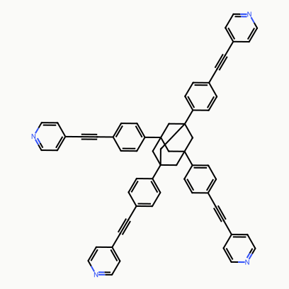 C(#Cc1ccc(C23CC4(c5ccc(C#Cc6ccncc6)cc5)CC(c5ccc(C#Cc6ccncc6)cc5)(C2)CC(c2ccc(C#Cc5ccncc5)cc2)(C3)C4)cc1)c1ccncc1